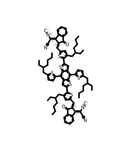 [C-]#[N+]/C(C#N)=C1\C(=C\c2cc(CC(CC)CCCC)c(-c3cc4c(-c5ccc(CC(CC)CCCC)s5)c5sc(-c6sc(/C=C7\C(=O)c8ccccc8\C7=C(\C#N)[N+]#[C-])cc6CC(CC)CCCC)cc5c(-c5ccc(CC(CC)CCCC)s5)c4s3)s2)C(=O)c2ccccc21